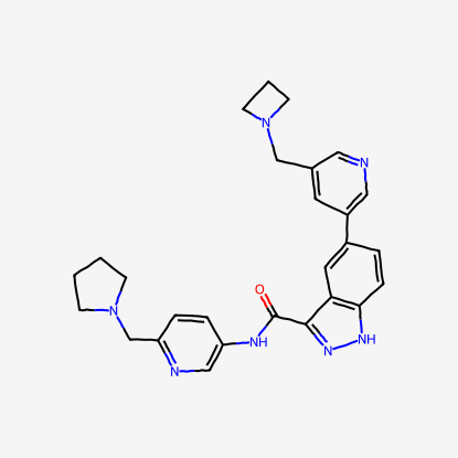 O=C(Nc1ccc(CN2CCCC2)nc1)c1n[nH]c2ccc(-c3cncc(CN4CCC4)c3)cc12